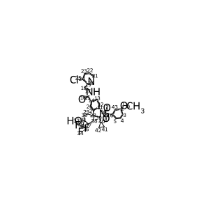 COc1cccc(S(=O)(=O)N2c3ccc(C(=O)NCc4ncccc4Cl)cc3C3(CCC(O)(C(F)(F)F)CC3)C2C2CC2)c1